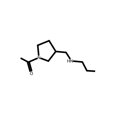 CCCNCC1CCN(C(C)=O)C1